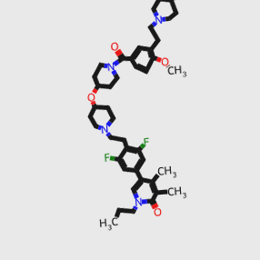 CCCn1cc(-c2cc(F)c(CCN3CCC(OC4CCN(C(=O)c5ccc(OC)c(CCN6CC[CH]CC6)c5)CC4)CC3)c(F)c2)c(C)c(C)c1=O